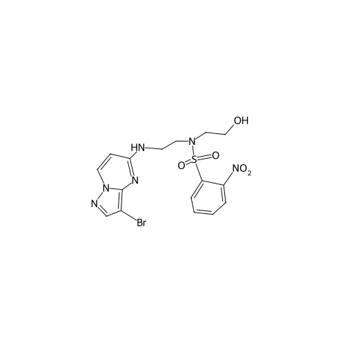 O=[N+]([O-])c1ccccc1S(=O)(=O)N(CCO)CCNc1ccn2ncc(Br)c2n1